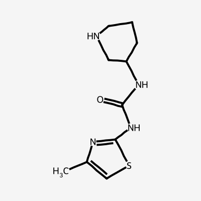 Cc1csc(NC(=O)NC2CCCNC2)n1